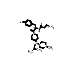 CC(C)CN(C1CCN(C(=O)[C@@H](Cc2ccc(Cl)cc2)NC(=O)CCN)CC1)N1CCN(C)CC1